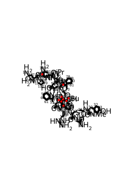 CCCC[C@@H](C(=O)N(C)[C@@H](CCCC)C(=O)N[C@@H](CCCNC(=N)N)C(=O)NC(CSCC(=O)N[C@@H](Cc1ccc(O)cc1)C(=O)NC)C(=O)NCC(N)=O)N(C)C(=O)[C@H](Cc1c[nH]c2ccccc12)NC(=O)[C@H](CO)NC(=O)[C@H](Cc1c[nH]c2ccccc12)NC(=O)[C@@H]1C[C@@H](O)CN1C(=O)[C@H](CC(C)C)NC(=O)[C@H](CC(N)=O)NC(=O)[C@@H]1CCCN1C(=O)[C@@H](N)CC(N)=O